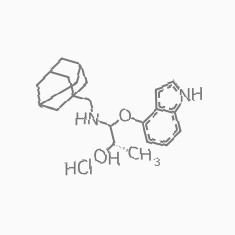 C[C@H](O)C(NCC12CC3CC(CC(C3)C1)C2)Oc1cccc2[nH]ccc12.Cl